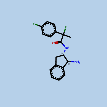 CC(F)(C(=O)N[C@H]1Cc2ccccc2[C@@H]1N)c1ccc(F)cc1